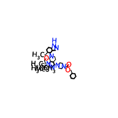 CSc1nc2c(c(N3CCN(C(=O)OCc4ccccc4)CC3)n1)CCN(c1c([C@H](C)OCC[Si](C)(C)C)ccc3[nH]ncc13)C2